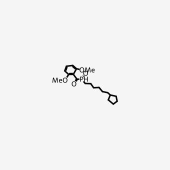 COc1cccc(OC)c1C(=O)[PH](=O)CCCCCCC1CCCC1